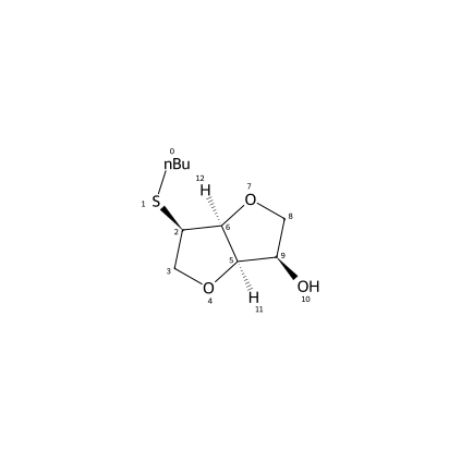 CCCCS[C@@H]1CO[C@H]2[C@@H]1OC[C@H]2O